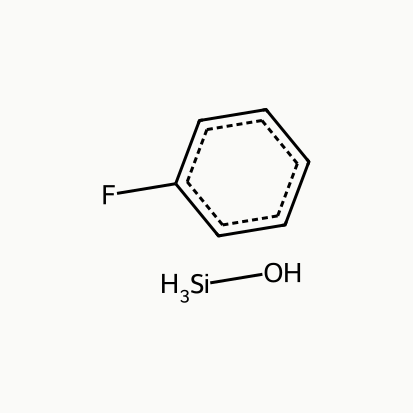 Fc1ccccc1.O[SiH3]